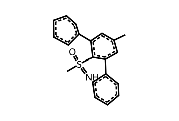 Cc1cc(-c2ccccc2)c(S(C)(=N)=O)c(-c2ccccc2)c1